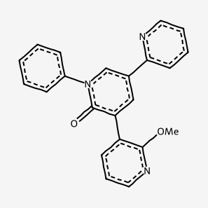 COc1ncccc1-c1cc(-c2ccccn2)cn(-c2ccccc2)c1=O